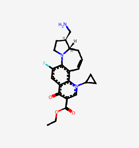 CCOC(=O)c1cn(C2CC2)c2c3c(c(F)cc2c1=O)N1CC[C@@H](CN)[C@@H]1CC=C3